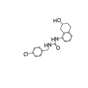 O=C(NCc1ccc(Cl)cc1)Nc1cccc2c1CC(O)CC2